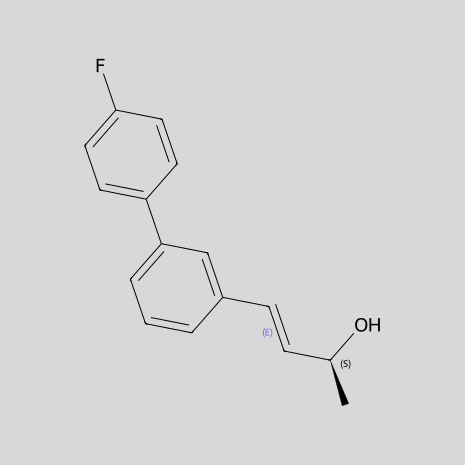 C[C@H](O)/C=C/c1cccc(-c2ccc(F)cc2)c1